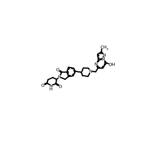 Cc1cc2nc(CN3CCC(c4ccc5c(c4)CN(C4CCC(=O)NC4=O)C5=O)CC3)cc(O)n2n1